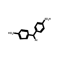 CC(=O)C(c1ccc(S(=O)(=O)O)cc1)c1ccc(S(=O)(=O)O)cc1